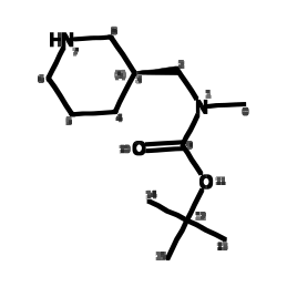 CN(C[C@H]1CCCNC1)C(=O)OC(C)(C)C